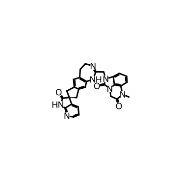 CN1C(=O)Cn2c(=O)n(CC3=NCCc4cc5c(cc4N3)C[C@]3(C5)C(=O)Nc4ncccc43)c3cccc1c32